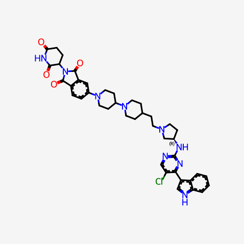 O=C1CCC(N2C(=O)c3ccc(N4CCC(N5CCC(CCN6CC[C@@H](Nc7ncc(Cl)c(-c8c[nH]c9ccccc89)n7)C6)CC5)CC4)cc3C2=O)C(=O)N1